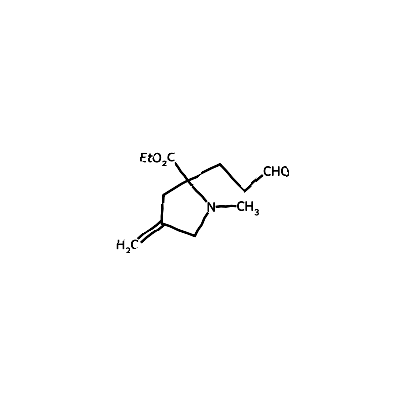 C=C1CN(C)C(CCC=O)(C(=O)OCC)C1